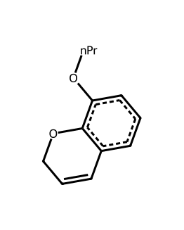 CCCOc1cccc2c1OCC=C2